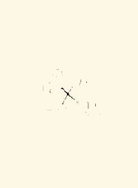 CC(C)(C)C.[Zr]